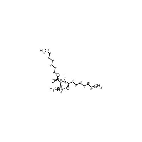 CCCCCCCOC(=O)C(NC(=O)CCCCCCC)C(C)C